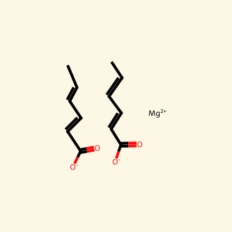 C/C=C/C=C/C(=O)[O-].C/C=C/C=C/C(=O)[O-].[Mg+2]